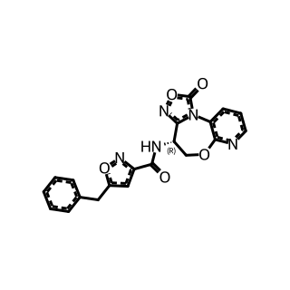 O=C(N[C@H]1COc2ncccc2-n2c1noc2=O)c1cc(Cc2ccccc2)on1